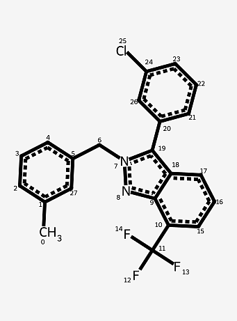 Cc1cccc(Cn2nc3c(C(F)(F)F)cccc3c2-c2cccc(Cl)c2)c1